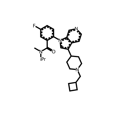 CC(C)N(C)C(=O)c1cc(F)ccc1-n1cc(C2CCN(CC3CCC3)CC2)c2ccncc21